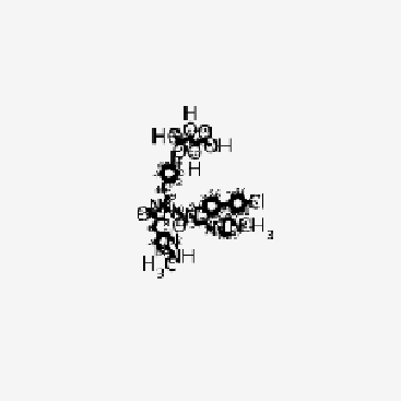 CNc1ncc(Cc2cn(CC(=O)N(CCCN3CCN(C)CC3)Cc3ccc(-c4ccc(Cl)cc4)cc3)c(SCc3ccc(F)cc3)nc2=O)cn1.O=C(O)C(O)C(O)C(=O)O